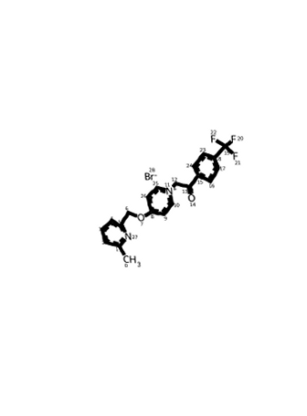 Cc1cccc(COc2cc[n+](CC(=O)c3ccc(C(F)(F)F)cc3)cc2)n1.[Br-]